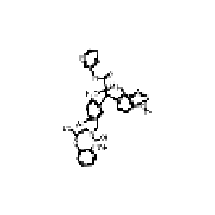 CCC1CN(Cc2cc(C(c3ccc4c(nnn4CC)c3C)C(C)(C)C(=O)Nc3cncnc3)ccc2C)S(O)(O)c2cccnc2O1